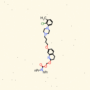 CCCN(CCC)C(=O)OCOC1=Nc2cc(OCCCCN3CCN(c4cccc(C)c4Cl)CC3)ccc2CC1